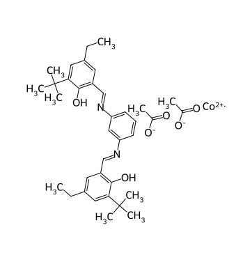 CC(=O)[O-].CC(=O)[O-].CCc1cc(C=Nc2cccc(N=Cc3cc(CC)cc(C(C)(C)C)c3O)c2)c(O)c(C(C)(C)C)c1.[Co+2]